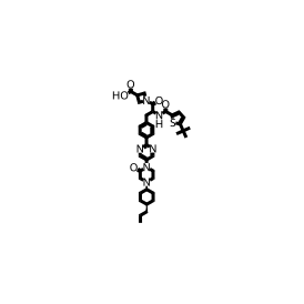 CCC[C@H]1CC[C@@H](N2CCN(c3cnc(-c4ccc(CC(NC(=O)c5ccc(C(C)(C)C)s5)C(=O)N5CC(C(=O)O)C5)cc4)nc3)C(=O)C2)CC1